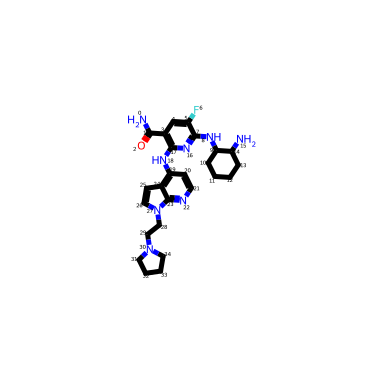 NC(=O)c1cc(F)c(NC2CCCCC2N)nc1Nc1ccnc2c1ccn2CCN1CCCC1